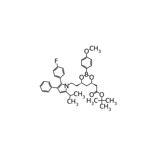 COc1ccc(B2O[C@H](CCn3c(C(C)C)cc(-c4ccccc4)c3-c3ccc(F)cc3)C[C@H](CC(=O)OC(C)(C)C)O2)cc1